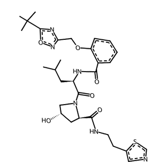 CC(C)C[C@@H](NC(=O)c1ccccc1OCc1noc(C(C)(C)C)n1)C(=O)N1C[C@@H](O)C[C@@H]1C(=O)NCCc1cncs1